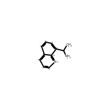 CC(N)c1cccc2cccnc12